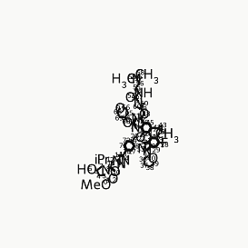 COC(=O)[C@@H]1C[C@@H](O)CN1C(=O)[C@H](C(C)C)n1cc(-c2ccc(COc3c(-c4c(C)c(F)cc5c4cnn5C4CCCCO4)c(C4CC4)cc4c(OC5CN(C(=O)NCCN(C)C)C5)nc(OC5CCOCC5)nc34)cc2)nn1